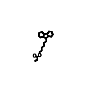 C=CC(=O)OCCCCCCC1c2ccccc2-c2ccccc21